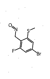 CSc1cc(Br)cc(F)c1CN=O